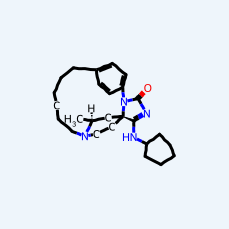 C[C@H]1C[C@@]23CCN1CCCCCCc1ccc(cc1)N2C(=O)N=C3NC1CCCCC1